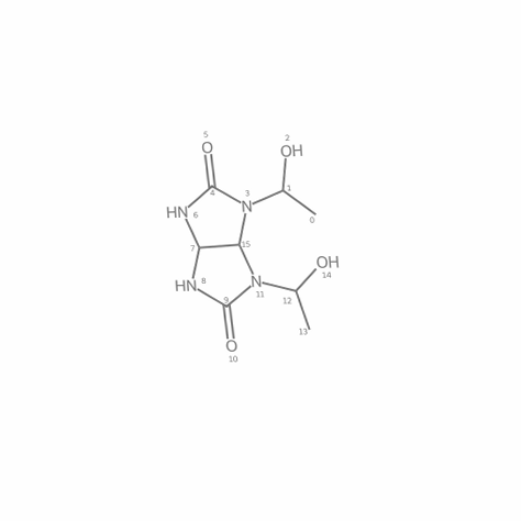 CC(O)N1C(=O)NC2NC(=O)N(C(C)O)C21